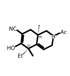 CC[C@@]1(C)C2=CCN(C(C)=O)C[C@]2(C)CC(C#N)=C1O